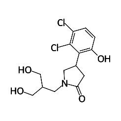 O=C1CC(c2c(O)ccc(Cl)c2Cl)CN1CC(CO)CO